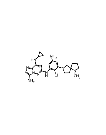 CN1CCCC12CCN(c1cc(N)cc(Nc3nc(NC4CC4)c4ncc(N)n4n3)c1Cl)C2